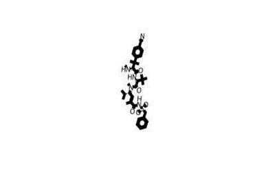 CN[C@H](C(=O)N[C@H](C(=O)N(C)[C@H](C=C(C)C(=O)NS(=O)(=O)Cc1ccccc1)C(C)C)C(C)(C)C)C(C)(C)c1ccc(C#N)cc1